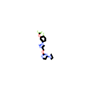 Fc1ccc(-n2cc(COc3nccc(N4CCC4)n3)nn2)cc1OC(F)F